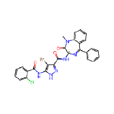 CN1C(=O)[C@H](NC(=O)c2n[nH]c(NC(=O)c3ccccc3Cl)c2Br)N=C(c2ccccc2)c2ccccc21